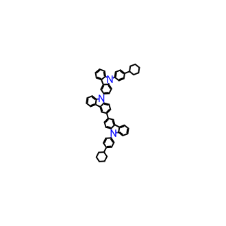 c1ccc2c(c1)c1cc(-c3ccc4c(c3)c3ccccc3n4-c3ccc4c(c3)c3ccccc3n4-c3ccc(C4CCCCC4)cc3)ccc1n2-c1ccc(C2CCCCC2)cc1